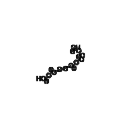 O=C(O)c1ccc(C(=O)OCCOCCOCCOC(=O)c2ccc(C(=O)OC(=O)c3cccc(C(=O)O)c3)cc2)cc1